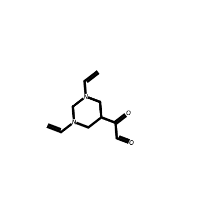 C=CN1CC(C(=O)C=O)CN(C=C)C1